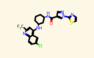 O=C(N[C@@H]1CCC[C@H](Nc2cc(C(F)(F)F)nc3ccc(Cl)cc23)C1)c1cnn(-c2nccs2)c1